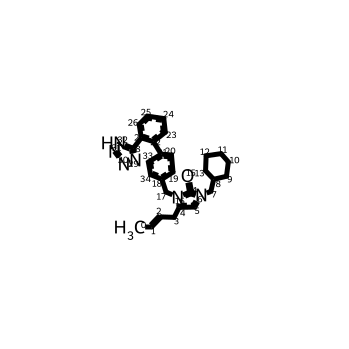 CC=CCc1cn(CC2CCCCC2)c(=O)n1Cc1ccc(-c2ccccc2-c2nnn[nH]2)cc1